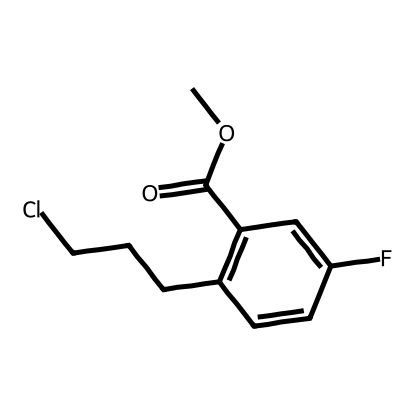 COC(=O)c1cc(F)ccc1CCCCl